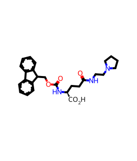 O=C(CC[C@H](NC(=O)OCC1c2ccccc2-c2ccccc21)C(=O)O)NCCN1CCCC1